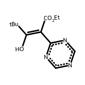 CCOC(=O)/C(=C(/O)C(C)(C)C)c1ncncn1